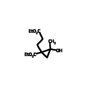 CCOC(=O)CCC1(C(=O)OCC)CC1(C)O